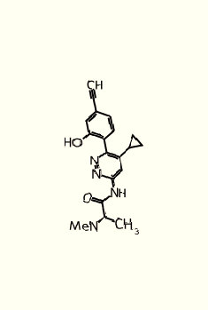 C#Cc1ccc(-c2nnc(NC(=O)[C@@H](C)NC)cc2C2CC2)c(O)c1